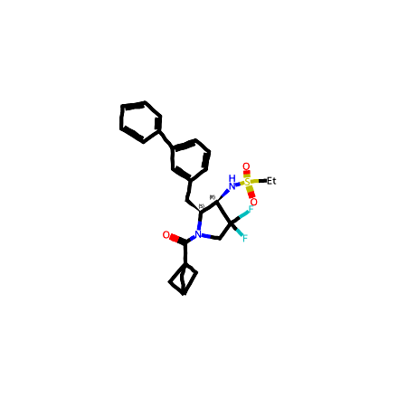 CCS(=O)(=O)N[C@@H]1[C@H](Cc2cccc(-c3ccccc3)c2)N(C(=O)C23CC(C2)C3)CC1(F)F